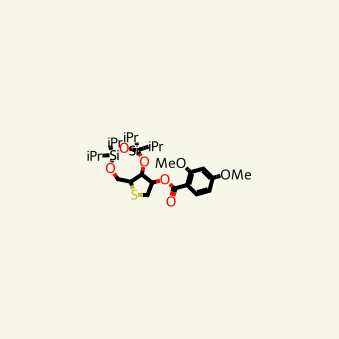 COc1ccc(C(=O)OC2CSC3CO[Si](C(C)C)(C(C)C)O[Si](C(C)C)(C(C)C)OC23)c(OC)c1